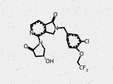 O=C1c2ccnc(N3C[C@H](O)CC3=O)c2CN1Cc1ccc(OCC(F)(F)F)c(Cl)c1